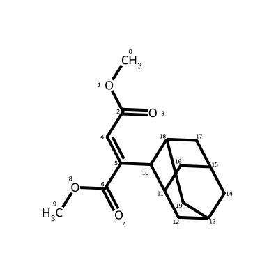 COC(=O)/C=C(/C(=O)OC)C1C2CC3CC(C2)CC1C3